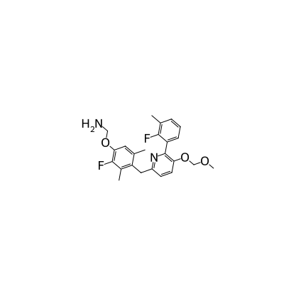 COCOc1ccc(Cc2c(C)cc(OCN)c(F)c2C)nc1-c1cccc(C)c1F